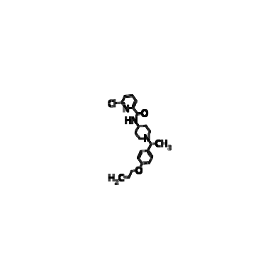 C=CCOc1ccc(C(C)N2CCC(NC(=O)c3cccc(Cl)n3)CC2)cc1